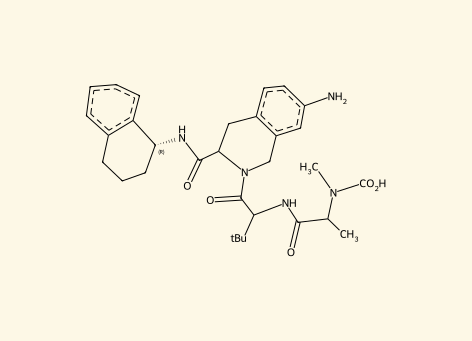 CC(C(=O)NC(C(=O)N1Cc2cc(N)ccc2CC1C(=O)N[C@@H]1CCCc2ccccc21)C(C)(C)C)N(C)C(=O)O